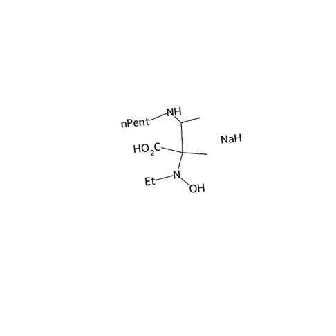 CCCCCNC(C)C(C)(C(=O)O)N(O)CC.[NaH]